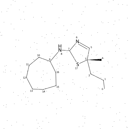 CCC[C@@]1(C)C=NC(NC2CCCCCCC2)S1